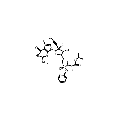 CC(C)OC(=O)[C@H](C)NP(=O)(OC[C@H]1O[C@@H](n2cc(F)c3c(=O)[nH]c(N)nc32)C(Cl)(C#CCl)[C@H]1O)Oc1ccccc1